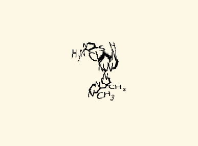 CC1N=CC=NC1CC1(C)CCN(C2=NC=C(Sc3ccnc(N)c3Cl)C3NC=CN23)CC1